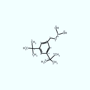 CC(C)(C)c1cc(COP(O)O)cc(C(C)(C)C)c1